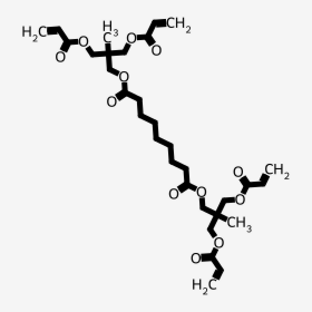 C=CC(=O)OCC(C)(COC(=O)C=C)COC(=O)CCCCCCCC(=O)OCC(C)(COC(=O)C=C)COC(=O)C=C